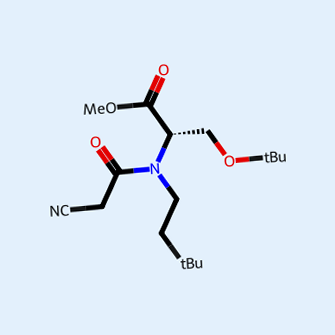 COC(=O)[C@H](COC(C)(C)C)N(CCC(C)(C)C)C(=O)CC#N